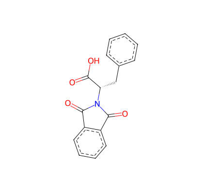 O=C(O)[C@H](Cc1ccccc1)N1C(=O)c2ccccc2C1=O